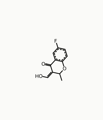 CC1Oc2ccc(F)cc2C(=O)C1=CO